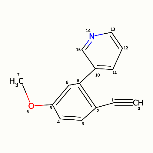 C#Cc1ccc(OC)cc1-c1cccnc1